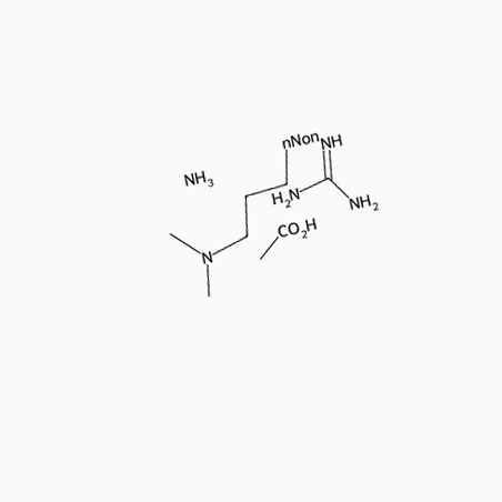 CC(=O)O.CCCCCCCCCCCCN(C)C.N.N=C(N)N